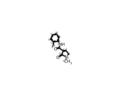 CN1CC=C(C(=O)Nc2ccccc2F)C1=O